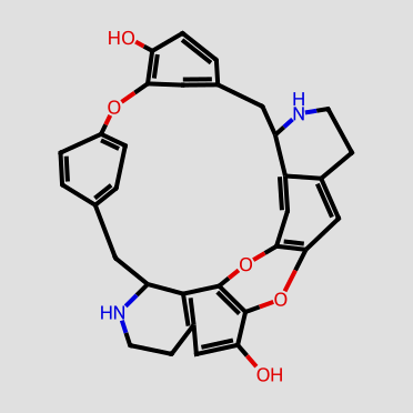 Oc1ccc2cc1Oc1ccc(cc1)CC1NCCc3cc(O)c4c(c31)Oc1cc3c(cc1O4)CCNC3C2